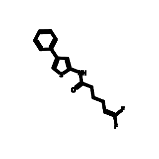 O=C(CCCC=C(F)F)Nc1cc(-c2ccccc2)cs1